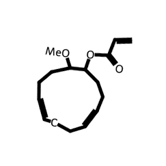 C=CC(=O)OC1CCC=CCCC=CCCC1OC